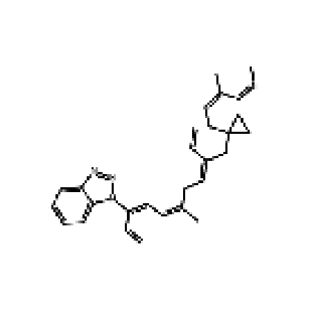 C=C/C(=C\C/C(C)=C\C=C(/C=C)n1nnc2ccccc21)CC1(C/C=C(C)\C=N/C)CC1